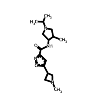 CC1CN(C(C)C)CC1NC(=O)c1cc(C2CN(C)C2)on1